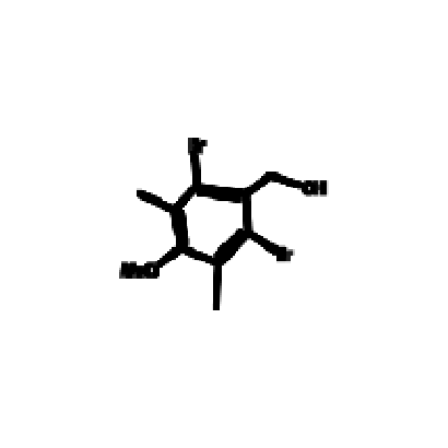 COc1c(C)c(Br)c(CO)c(Br)c1C